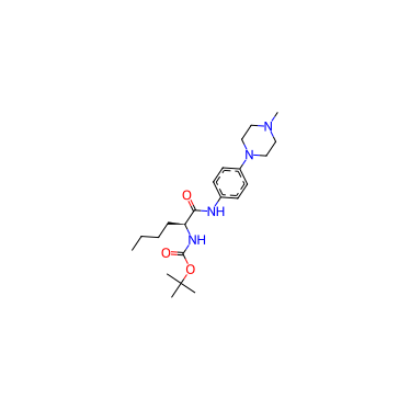 CCCC[C@H](NC(=O)OC(C)(C)C)C(=O)Nc1ccc(N2CCN(C)CC2)cc1